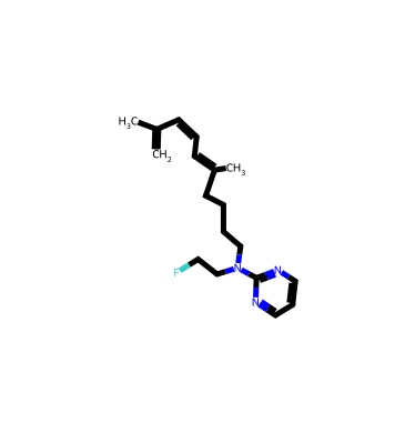 C=C(C)/C=C\C=C(/C)CCCCN(CCF)c1ncccn1